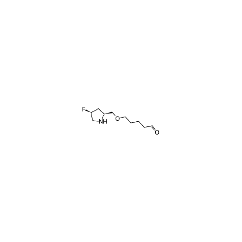 O=CCCCCOC[C@@H]1C[C@H](F)CN1